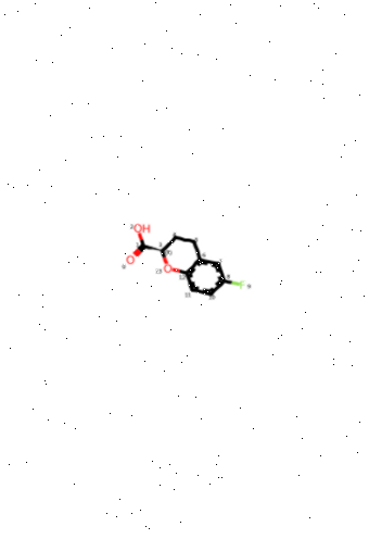 O=C(O)[C@H]1CCc2cc(F)ccc2O1